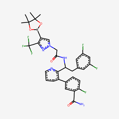 CC1(C)OB(c2cn(CC(=O)NC(Cc3cc(F)cc(F)c3)c3ncccc3-c3ccc(F)c(C(N)=O)c3)nc2C(F)(F)F)OC1(C)C